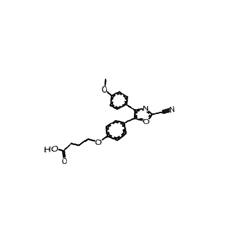 COc1ccc(-c2nc(C#N)oc2-c2ccc(OCCCC(=O)O)cc2)cc1